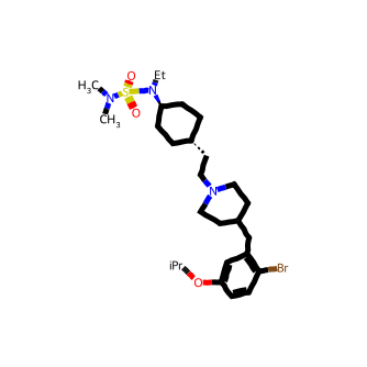 CCN([C@H]1CC[C@H](CCN2CCC(Cc3cc(OC(C)C)ccc3Br)CC2)CC1)S(=O)(=O)N(C)C